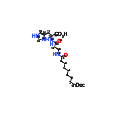 CCCCCCCCCCCCCCCCCC(=O)NCCC(=O)NC(CC1=CNCN1)C(=O)O